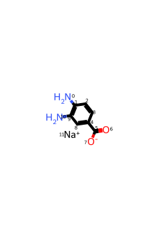 Nc1ccc(C(=O)[O-])cc1N.[Na+]